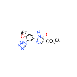 CCOC(=O)c1cnc(-c2ccc(OC(C)C)c(-n3cnnn3)c2)[nH]c1=O